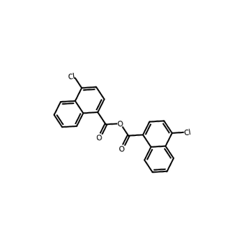 O=C(OC(=O)c1ccc(Cl)c2ccccc12)c1ccc(Cl)c2ccccc12